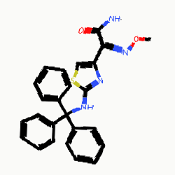 CON=C(C([NH])=O)c1csc(NC(c2ccccc2)(c2ccccc2)c2ccccc2)n1